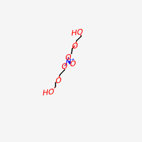 O=[N+](OCCOCCO)OCCOCCO